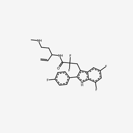 C=CC(CCNC)NC(=O)C(F)(F)Cc1c(-c2ccc(F)cc2)[nH]c2c(F)cc(F)cc12